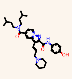 CC(C)CCN(CCC(C)C)C(=O)c1ccn2nc(C(=O)Nc3ccc(O)cc3)c(/C=C/CN3CCCCC3)c2c1